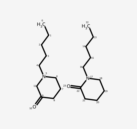 CCCCCN1CCCC(=O)C1.CCCCCN1CCCCC1=O